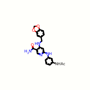 CC(=O)Nc1cccc(Nc2cc(NCc3ccc4c(c3)OCO4)c(C(N)=O)cn2)c1